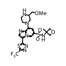 COCC1CN(c2cc(S(=O)(=O)NC3(C)COC3)cn3c(-c4nnc(C(F)(F)F)s4)cnc23)CCN1